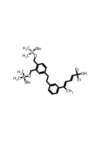 CCC(O)(C=CC=C(C)c1cccc(CCc2ccc(CO[Si](C)(C)C(C)(C)C)c(CO[Si](C)(C)C(C)(C)C)c2)c1)CC